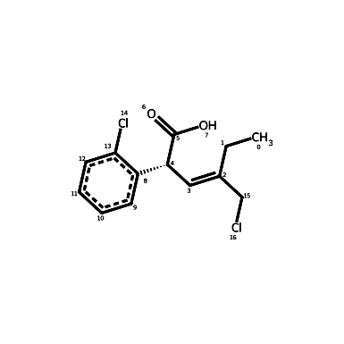 CC/C(=C\[C@@H](C(=O)O)c1ccccc1Cl)CCl